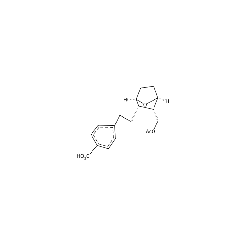 CC(=O)OC[C@@H]1[C@H](CCc2ccc(C(=O)O)cc2)[C@H]2CC[C@@H]1O2